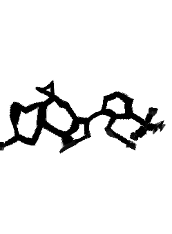 CCOc1c(-c2noc3c2CC2(CC2)c2ccc(Br)cc2-3)cccc1S(N)(=O)=O